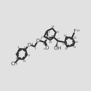 O=C(OCOc1ccc(Cl)cc1)N1C2CCC1([C@H](O)c1cccc(F)c1)CC2